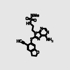 C#Cc1cc2c(cc1Sc1nc3c(N)ncnc3n1CCNS(=O)(=O)NC)OCC2